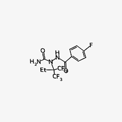 CCC(N(NC(=O)c1ccc(F)cc1)C(N)=O)(C(F)(F)F)C(F)(F)F